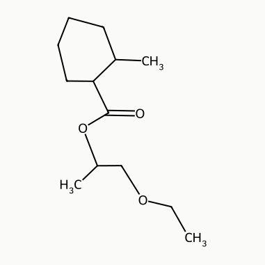 CCOCC(C)OC(=O)C1CCCCC1C